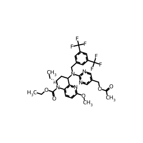 CCOC(=O)N1c2ccc(OC)nc2C(N(Cc2cc(C(F)(F)F)cc(C(F)(F)F)c2)c2ncc(COC(C)=O)cn2)C[C@H]1CC